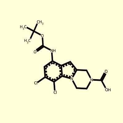 CC(C)(C)OC(=O)Nc1cc(Cl)c(Cl)c2c1cc1n2CCN(C(=O)O)C1